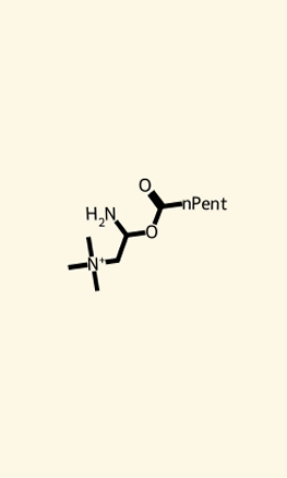 CCCCCC(=O)OC(N)C[N+](C)(C)C